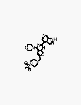 CS(=O)(=O)N1CCN(Cc2cc3c(N4CCOCC4)nc(-c4cncc5[nH]ncc45)nc3s2)CC1